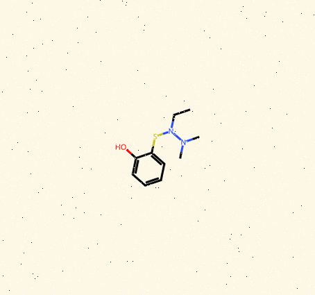 CCN(Sc1ccccc1O)N(C)C